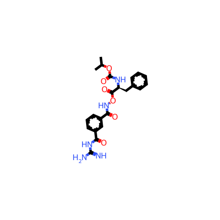 CC(C)OC(=O)N[C@@H](Cc1ccccc1)C(=O)ONC(=O)c1cccc(C(=O)NC(=N)N)c1